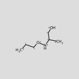 CCCONC(C)CO